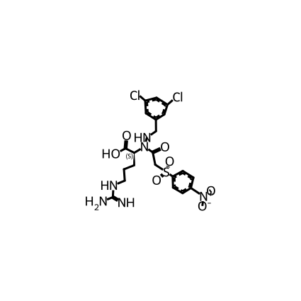 N=C(N)NCCC[C@@H](C(=O)O)N(NCc1cc(Cl)cc(Cl)c1)C(=O)CS(=O)(=O)c1ccc([N+](=O)[O-])cc1